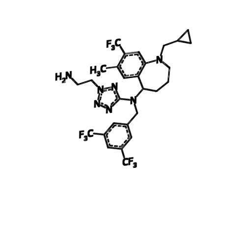 Cc1cc2c(cc1C(F)(F)F)N(CC1CC1)CCCC2N(Cc1cc(C(F)(F)F)cc(C(F)(F)F)c1)c1nnn(CCN)n1